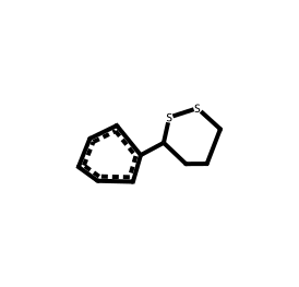 c1ccc(C2CCCSS2)cc1